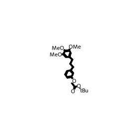 COc1cc(CCCc2cccc(OCC(=O)OC(C)(C)C)c2)cc(OC)c1OC